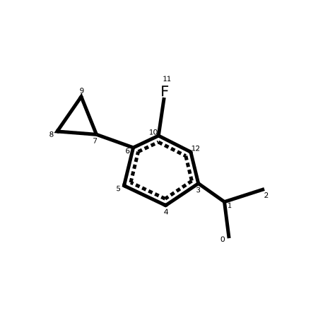 CC(C)c1ccc(C2CC2)c(F)c1